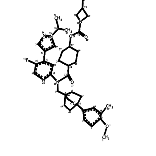 COc1ccc(C23CCC(CN(C(=O)C4CCC(OC(=O)N5CC(CO)C5)CC4)c4cc(-c5cnn(C(C)C)c5)c(F)cn4)(CC2)CC3)cc1C